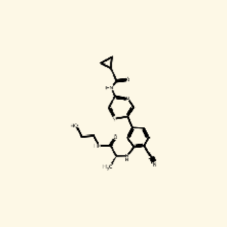 C[C@H](Nc1cc(-c2cnc(NC(=O)C3CC3)cn2)ccc1C#N)C(=O)NCCO